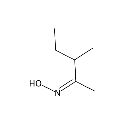 CCC(C)/C(C)=N\O